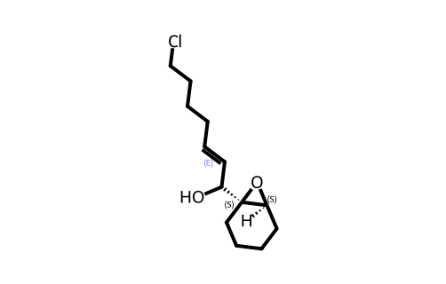 OC(/C=C/CCCCCl)[C@@]12CCCC[C@@H]1O2